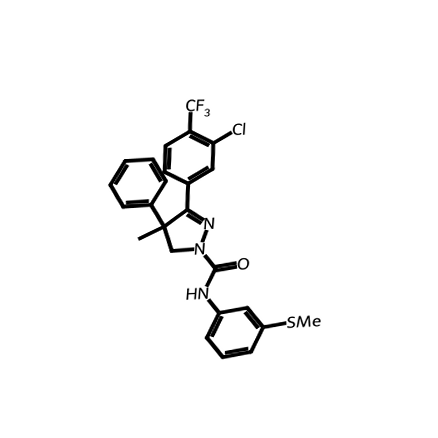 CSc1cccc(NC(=O)N2CC(C)(c3ccccc3)C(c3ccc(C(F)(F)F)c(Cl)c3)=N2)c1